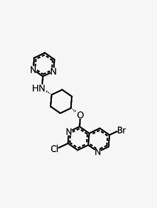 Clc1cc2ncc(Br)cc2c(O[C@H]2CC[C@@H](Nc3ncccn3)CC2)n1